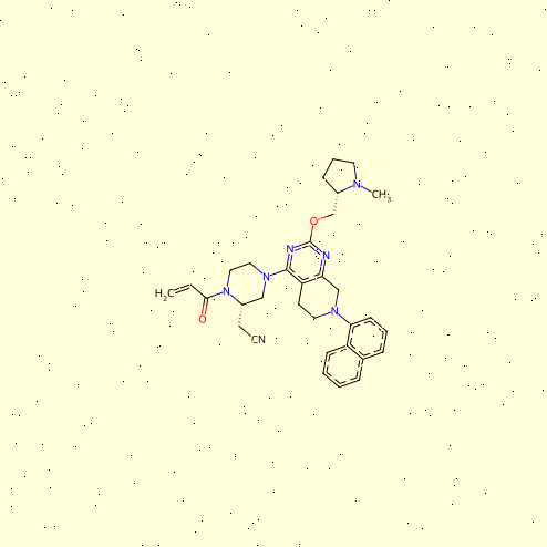 C=CC(=O)N1CCN(c2nc(OC[C@@H]3CCCN3C)nc3c2CCN(c2cccc4ccccc24)C3)C[C@@H]1CC#N